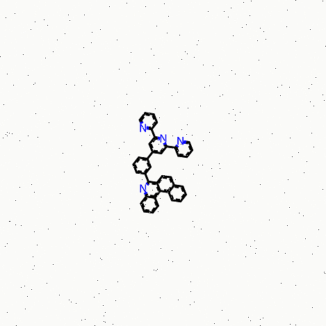 c1ccc(-c2cc(-c3cccc(-c4nc5ccccc5c5c4ccc4ccccc45)c3)cc(-c3ccccn3)n2)nc1